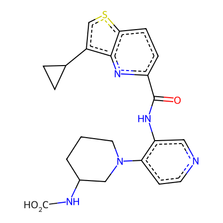 O=C(O)NC1CCCN(c2ccncc2NC(=O)c2ccc3scc(C4CC4)c3n2)C1